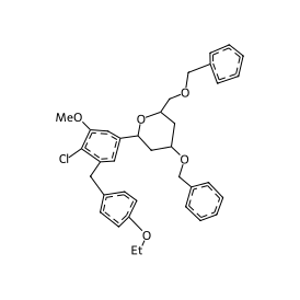 CCOc1ccc(Cc2cc(C3CC(OCc4ccccc4)CC(COCc4ccccc4)O3)cc(OC)c2Cl)cc1